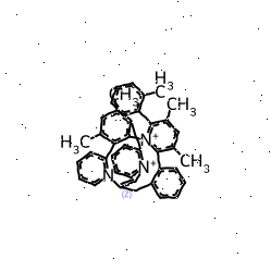 Cc1ccccc1-c1c(C)cc(C)c2[n+]1-c1c3c(C)cc(C)c1-c1cccc[n+]1/C(=C\[n+]1ccccc1-3)Cc1ccccc1-2